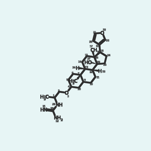 CC(COC1CC[C@@]2(C)C(CC[C@@H]3[C@H]2CC[C@]2(C)C(c4ccoc4)CC[C@@]32O)C1)NC(=N)N